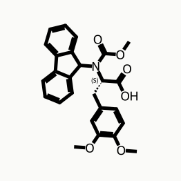 COC(=O)N(C1c2ccccc2-c2ccccc21)[C@@H](Cc1ccc(OC)c(OC)c1)C(=O)O